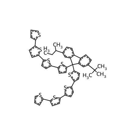 CCC(C)c1ccc2c(c1)C(c1ccc(-c3ccc(-c4ccc(-c5cccs5)s4)s3)s1)(c1ccc(-c3ccc(-c4ccc(-c5cccs5)s4)s3)s1)c1cc(C(C)(C)C)ccc1-2